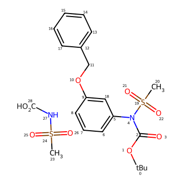 CC(C)(C)OC(=O)N(c1cccc(OCc2ccccc2)c1)S(C)(=O)=O.CS(=O)(=O)NC(=O)O